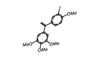 C=C(c1ccc(OC)c(I)c1)c1cc(OC)c(OC)c(OC)c1